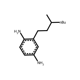 CCCCC(C)CCc1cc(N)ccc1N